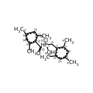 Cc1cc(C)c(C[PH](O)(Cl)C(=O)c2c(C)cc(C)cc2C)c(C)c1